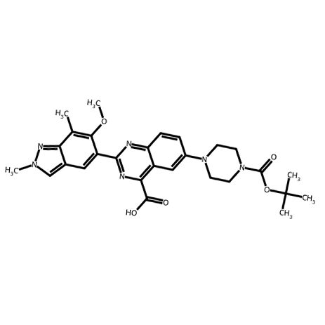 COc1c(-c2nc(C(=O)O)c3cc(N4CCN(C(=O)OC(C)(C)C)CC4)ccc3n2)cc2cn(C)nc2c1C